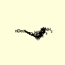 CCCCCCCCCCCCCCCCOCCCCOP(=O)(O)OC1[C@H]2O[C@@](C)(c3ccc4c(N)ncnn34)[C@H](O)[C@@]12O